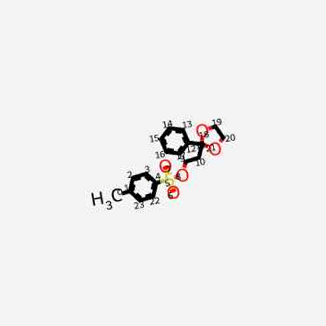 Cc1ccc(S(=O)(=O)OCCC2(c3ccccc3)OCCO2)cc1